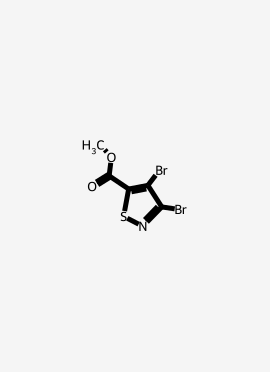 COC(=O)c1snc(Br)c1Br